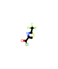 O=C(Cl)c1csc(C(F)(F)F)n1